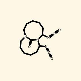 O=C=NC1CCCCCN2CCCCCC(N=C=O)N1C2=O